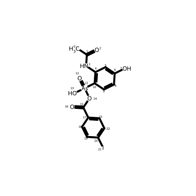 CC(=O)Nc1cc(O)ccc1[As](=O)(O)OC(=O)c1ccc(I)cc1